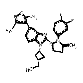 C=C1CC[C@@H](c2nc3cc(-c4c(C)noc4C)ccc3n2[C@H]2C[C@H](CO)C2)N1c1ccc(F)c(F)c1